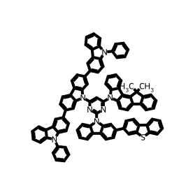 CC1(C)c2ccccc2-c2ccc3c(c21)c1ccccc1n3-c1cc(-n2c3cc(-c4ccc5c(c4)c4ccccc4n5-c4ccccc4)ccc3c3ccc(-c4ccc5c(c4)c4ccccc4n5-c4ccccc4)cc32)nc(-n2c3ccccc3c3ccc(-c4ccc5c(c4)sc4ccccc45)cc32)n1